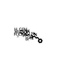 CC(C)(C)[Si]1(C(C)(C)C)OC[C@H]2O[C@@H](n3c(Br)nc4c(C=Cc5ccccc5)ncnc43)C[C@@H]2O1